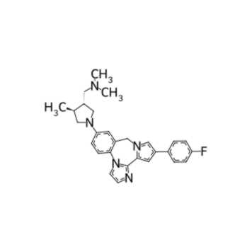 C[C@@H]1CN(c2ccc3c(c2)Cn2cc(-c4ccc(F)cc4)cc2-c2nccn2-3)C[C@H]1CN(C)C